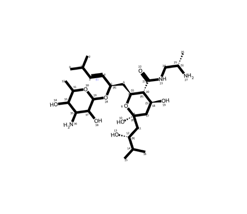 CC(C)/C=C/[C@@H](C[C@@H]1O[C@](O)(C[C@@H](O)C(C)C)C[C@H](O)[C@H]1C(=O)NC[C@H](C)N)OC1OC(C)C(O)C(N)C1O